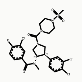 CN(C(=O)c1ccc(F)c(Cl)c1)[C@@H]1CN(C(=O)N2CCN(S(C)(=O)=O)CC2)C[C@H]1c1ccc(Cl)c(Cl)c1